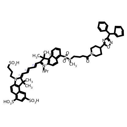 CCC[N+]1=C(/C=C/C=C/C=C2/N(CCCS(=O)(=O)O)c3ccc4c(S(=O)(=O)O)cc(S(=O)(=O)O)cc4c3C2(C)C)C(C)(C)c2c1ccc1c(S(=O)(=O)N(C)CCCC(=O)N3CCC(c4nc(C(c5ccccc5)c5ccccc5)no4)CC3)cccc21